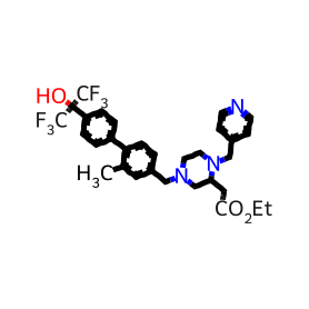 CCOC(=O)CC1CN(Cc2ccc(-c3ccc(C(O)(C(F)(F)F)C(F)(F)F)cc3)c(C)c2)CCN1Cc1ccncc1